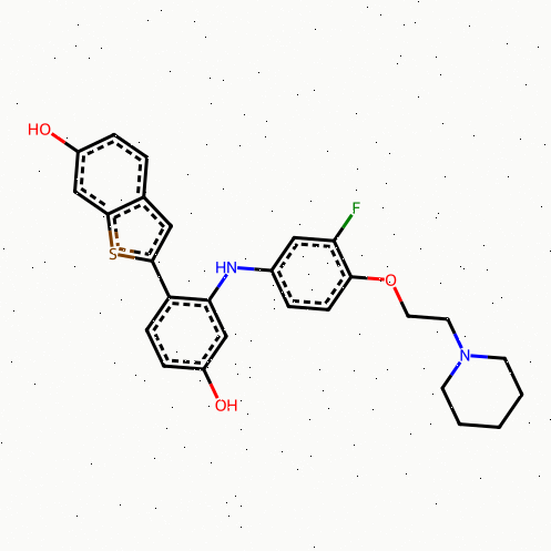 Oc1ccc(-c2cc3ccc(O)cc3s2)c(Nc2ccc(OCCN3CCCCC3)c(F)c2)c1